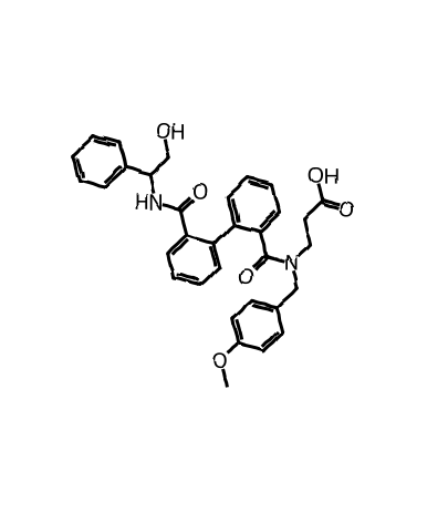 COc1ccc(CN(CCC(=O)O)C(=O)c2ccccc2-c2ccccc2C(=O)NC(CO)c2ccccc2)cc1